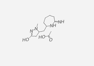 CC(=O)O.CN1N=C(O)CC1CC1CCCCC(=N)N1